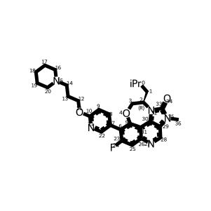 CC(C)C[C@@H]1COc2c(-c3ccc(OCCCN4CCCCC4)nc3)c(F)cc3ncc4c(c23)n1c(=O)n4C